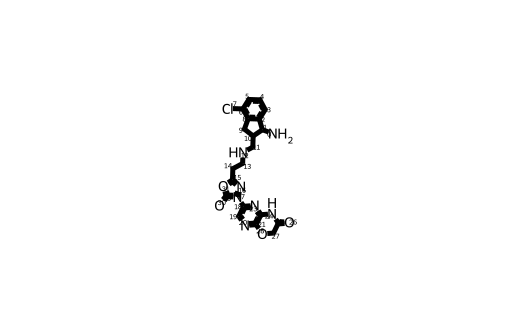 NC1c2cccc(Cl)c2CC1CNCCc1nn(-c2cnc3c(n2)NC(=O)CO3)c(=O)o1